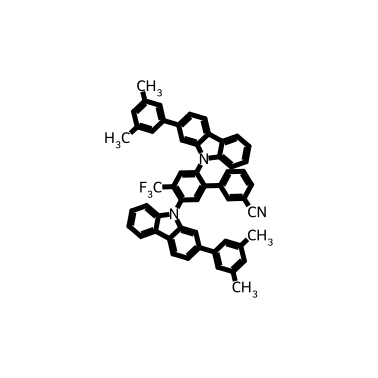 Cc1cc(C)cc(-c2ccc3c4ccccc4n(-c4cc(C(F)(F)F)c(-n5c6ccccc6c6ccc(-c7cc(C)cc(C)c7)cc65)cc4-c4cccc(C#N)c4)c3c2)c1